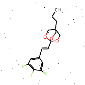 CCCC12COC(/C=C/c3cc(F)c(F)c(F)c3)(OC1)OC2